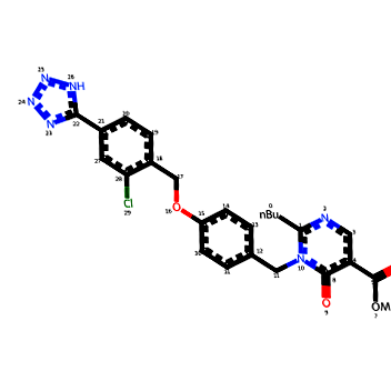 CCCCc1ncc(C(=O)OC)c(=O)n1Cc1ccc(OCc2ccc(-c3nnn[nH]3)cc2Cl)cc1